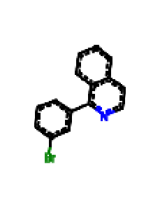 Brc1cccc(-c2nccc3ccccc23)c1